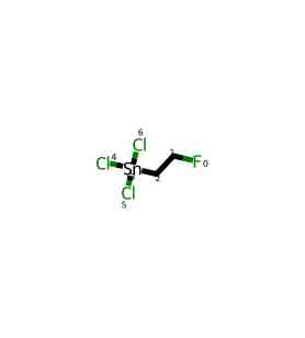 FC[CH2][Sn]([Cl])([Cl])[Cl]